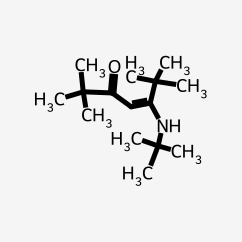 CC(C)(C)NC(=CC(=O)C(C)(C)C)C(C)(C)C